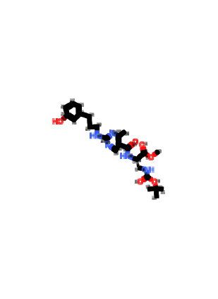 COC(=O)[C@H](CNC(=O)OC(C)(C)C)NC(=O)c1cnc(NCCCc2cccc(O)c2)nc1C